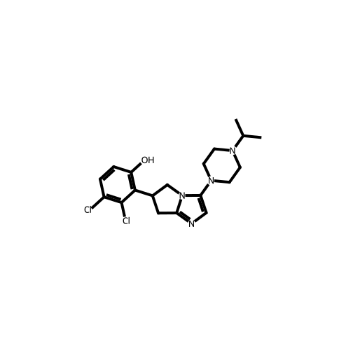 CC(C)N1CCN(c2cnc3n2CC(c2c(O)ccc(Cl)c2Cl)C3)CC1